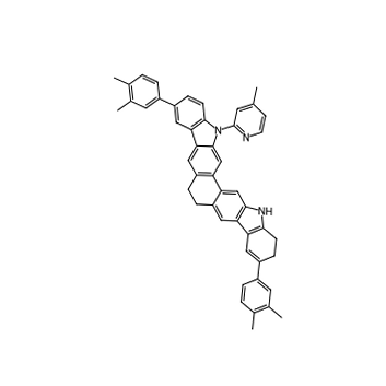 Cc1ccnc(-n2c3ccc(-c4ccc(C)c(C)c4)cc3c3cc4c(cc32)-c2cc3[nH]c5c(c3cc2CC4)C=C(c2ccc(C)c(C)c2)CC5)c1